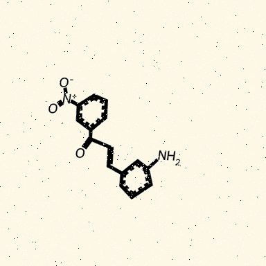 Nc1cccc(/C=C/C(=O)c2cccc([N+](=O)[O-])c2)c1